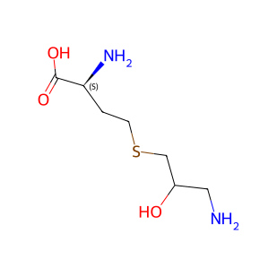 NCC(O)CSCC[C@H](N)C(=O)O